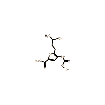 COC(=O)c1cc(NC(=O)OC(C)(C)C)c(CCC(C)O)s1